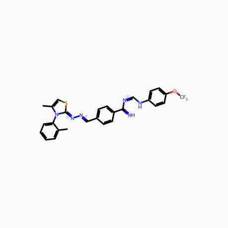 Cc1ccccc1-n1c(C)cs/c1=N\N=C\c1ccc(C(=N)/N=C\Nc2ccc(OC(F)(F)F)cc2)cc1